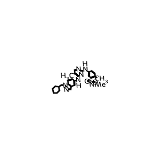 CNS(=O)(=O)c1cc(Nc2ncc(C)c(Nc3ccc4c(cnn4CC4CCCCC4)c3)n2)ccc1C